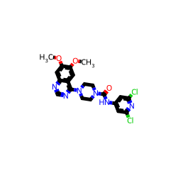 COc1cc2ncnc(N3CCN(C(=O)Nc4cc(Cl)nc(Cl)c4)CC3)c2cc1OC